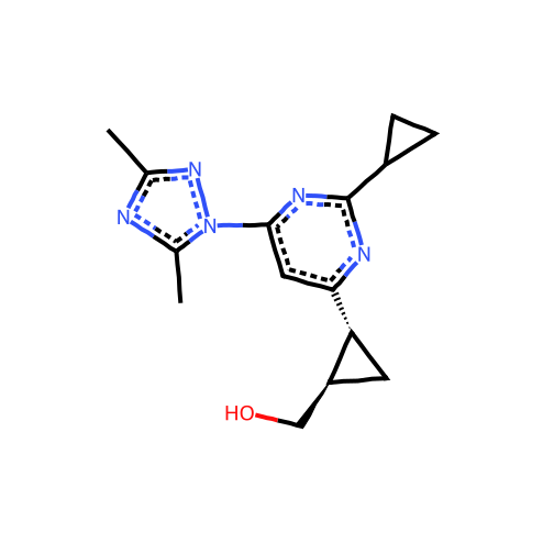 Cc1nc(C)n(-c2cc([C@@H]3C[C@H]3CO)nc(C3CC3)n2)n1